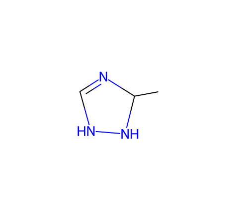 CC1N=CNN1